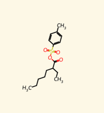 CCCCCC(CC)C(=O)OS(=O)(=O)c1ccc(C)cc1